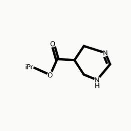 CC(C)OC(=O)C1CN=CNC1